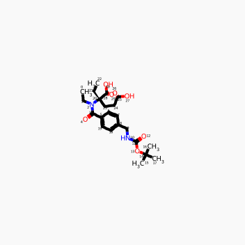 CCN(C(=O)c1ccc(CNC(=O)OC(C)(C)C)cc1)[C@@](CC)(CCC(=O)O)C(=O)O